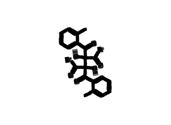 Cc1ccccc1C(=O)C(O)(C(=O)Br)C(O)(C(=O)Br)C(=O)c1ccccc1C